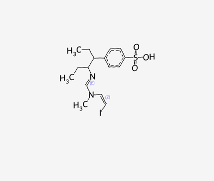 CCC(/N=C/N(C)/C=C\I)C(CC)c1ccc(S(=O)(=O)O)cc1